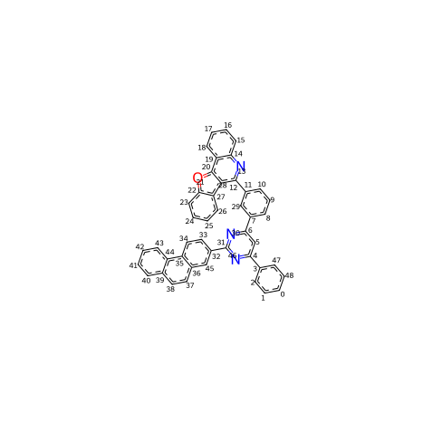 c1ccc(-c2cc(-c3cccc(-c4nc5ccccc5c5oc6ccccc6c45)c3)nc(-c3ccc4c(ccc5ccccc54)c3)n2)cc1